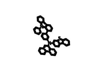 c1ccc(-n2c3ccccc3c3cccc(-c4cccc(N(c5ccc6c(c5)sc5ccccc56)c5cc6ccccc6c6ccccc56)c4)c32)cc1